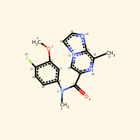 COc1cc(N(C)C(=O)c2cn3ccnc3c(C)n2)ccc1F